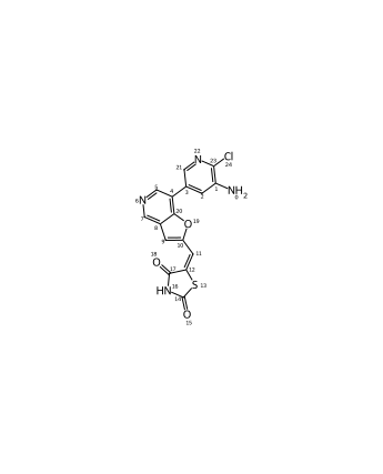 Nc1cc(-c2cncc3cc(C=C4SC(=O)NC4=O)oc23)cnc1Cl